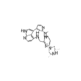 CNc1cc(-c2c[nH]c3nccc(NCc4cccc(N5C[C@@H](C)N[C@@H](C)C5)n4)c23)ccn1